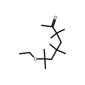 CCOC(C)(C)CC(C)(C)CC(C)(C)C(C)=O